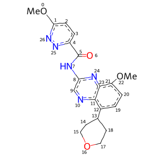 COc1ccc(C(=O)Nc2cnc3c(C4CCOCC4)ccc(OC)c3n2)nn1